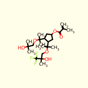 C=C(C)C(=O)OC1CC(C(C)(C)OCC(C)(C)O)C(C(C)(C)OCC(C)(O)C(F)(F)F)C1